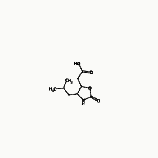 CC(C)CC1NC(=O)OC1CC(=O)O